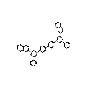 c1ccc(-c2cc(-c3ccc(-c4ccc(-c5cc(-c6ccccc6)nc(-c6ccc7ccccc7c6)n5)cc4)cc3)nc(-c3ccc4ccccc4c3)n2)cc1